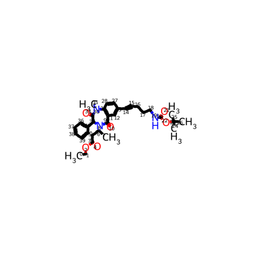 CCOC(=O)CC(C)N1C(=O)c2cc(C#CCCCNC(=O)OC(C)(C)C)ccc2N(C)C(=O)C1c1ccccc1